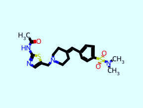 CC(=O)Nc1ncc(CN2CCC(=Cc3ccc(S(=O)(=O)N(C)C)cc3)CC2)s1